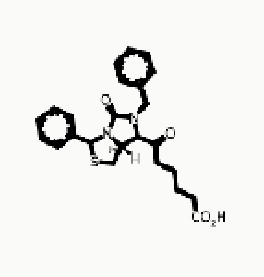 O=C(O)CCCCC(=O)C1[C@@H]2CSC(c3ccccc3)N2C(=O)N1Cc1ccccc1